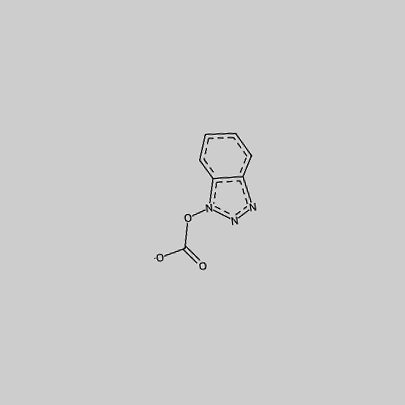 [O]C(=O)On1nnc2ccccc21